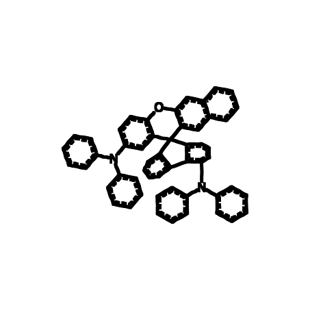 c1ccc(N(c2ccccc2)c2ccc3c(c2)C2(c4cc5ccccc5cc4O3)c3ccccc3-c3c(N(c4ccccc4)c4ccccc4)cccc32)cc1